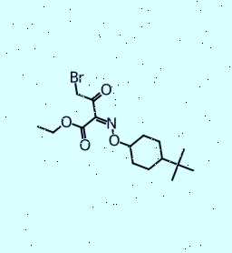 CCOC(=O)C(=NOC1CCC(C(C)(C)C)CC1)C(=O)CBr